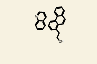 OCCc1cccc2c1ccc1ccccc12.c1ccc2ncccc2c1